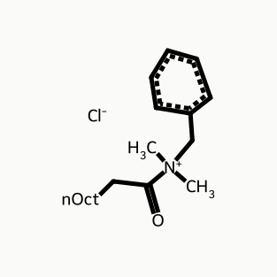 CCCCCCCCCC(=O)[N+](C)(C)Cc1ccccc1.[Cl-]